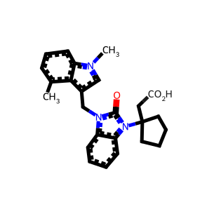 Cc1cccc2c1c(Cn1c(=O)n(C3(CC(=O)O)CCCC3)c3ccccc31)cn2C